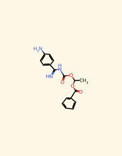 CC(OC(=O)NC(=N)c1ccc(N)cc1)OC(=O)c1ccccc1